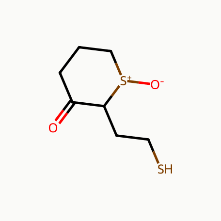 O=C1CCC[S+]([O-])C1CCS